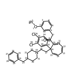 CC(C)Oc1cccc(CC(=O)C2=NC=CC=CC2(CCN2CCC(Cc3ccccc3)CC2)c2ccc(Cl)c(Cl)c2)c1